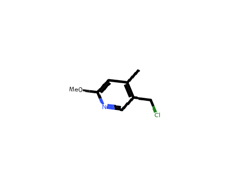 COc1cc(C)c(CCl)cn1